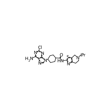 CC(C)N1CCc2nc(NC(=O)C3CCC(n4cnc5c(N)nc(Cl)nc54)CC3)sc2C1